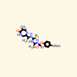 CCCCCCCCCc1ccc(OC(O)(CC)NC(C)NC(C)NC(C)C2CNC(=O)C(C)C=N2)cc1